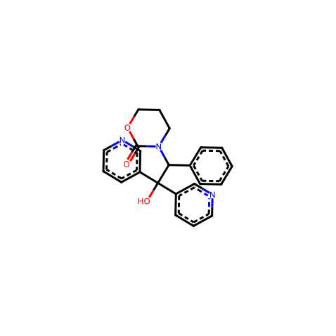 O=C1OCCCN1C(c1ccccc1)C(O)(c1cccnc1)c1cccnc1